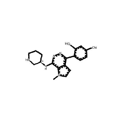 Cn1ccc2c(-c3ccc(C#N)cc3O)nnc(N[C@@H]3CCCNC3)c21